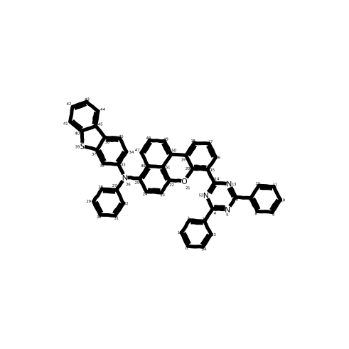 c1ccc(-c2nc(-c3ccccc3)nc(-c3cccc4c3Oc3ccc(N(c5ccccc5)c5ccc6c(c5)sc5ccccc56)c5cccc-4c35)n2)cc1